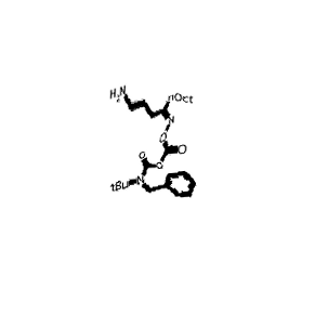 CCCCCCCCC(CCCN)=NOC(=O)OC(=O)N(Cc1ccccc1)C(C)(C)C